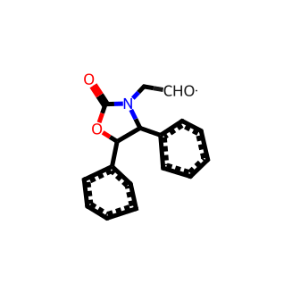 O=[C]CN1C(=O)OC(c2ccccc2)C1c1ccccc1